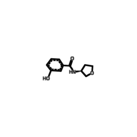 O=C(N[C@H]1CCOC1)c1cccc(O)c1